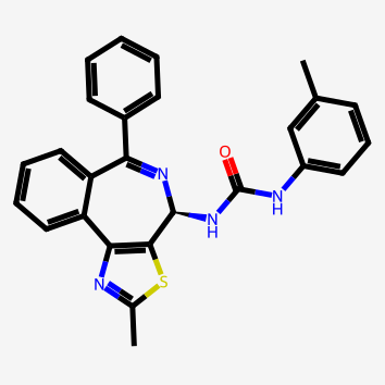 Cc1cccc(NC(=O)N[C@@H]2N=C(c3ccccc3)c3ccccc3-c3nc(C)sc32)c1